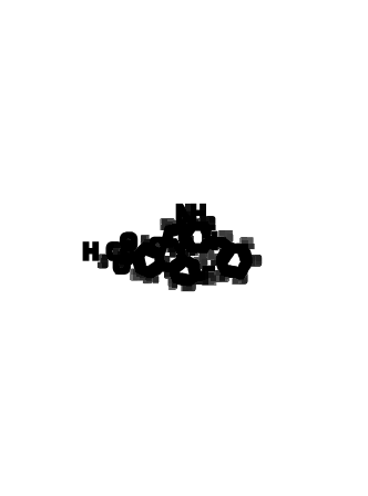 CS(=O)(=O)c1ccc(-c2ccc(F)cc2N2C(=O)C=C(N)C23CCN(Cc2ccccc2)CC3)cc1